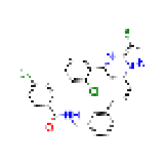 O=C(NCc1cccc(C/C=C\c2cc(-c3ccccc3Cl)nc3c(Br)cnn23)c1)C1C=CC(Cl)=CC1